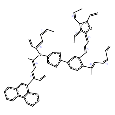 C=C/C=C\C=C(/C)c1ccc(-c2ccc(N(/C(C)=C/C=C(\C=C)c3cc4ccccc4c4ccccc34)/C(C=C)=C/C=C\C)cc2)cc1/C=C/C=c1/oc(C=C)c(/C=C\C)/c1=C/C